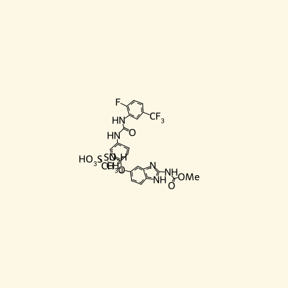 COC(=O)Nc1nc2cc(Oc3ccc(NC(=O)Nc4cc(C(F)(F)F)ccc4F)cn3)ccc2[nH]1.CS(=O)(=O)O.CS(=O)(=O)O